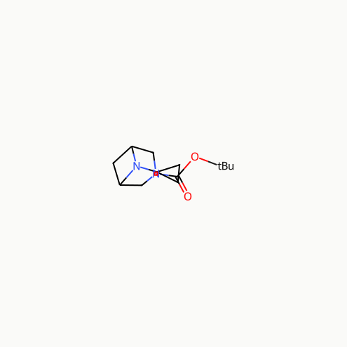 CC(C)(C)OC(=O)N1CC2CC(C1)N2C1CC1